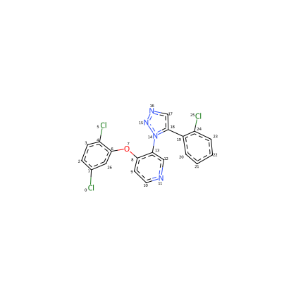 Clc1ccc(Cl)c(Oc2ccncc2-n2nncc2-c2ccccc2Cl)c1